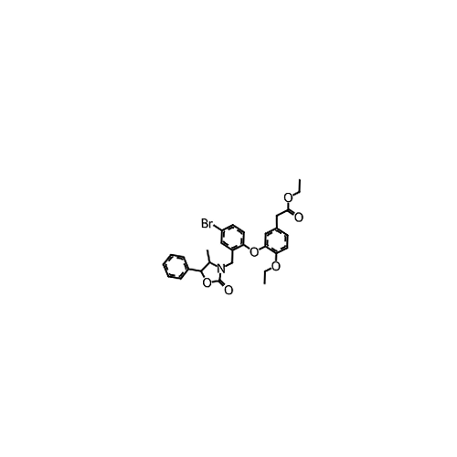 CCOC(=O)Cc1ccc(OCC)c(Oc2ccc(Br)cc2CN2C(=O)OC(c3ccccc3)C2C)c1